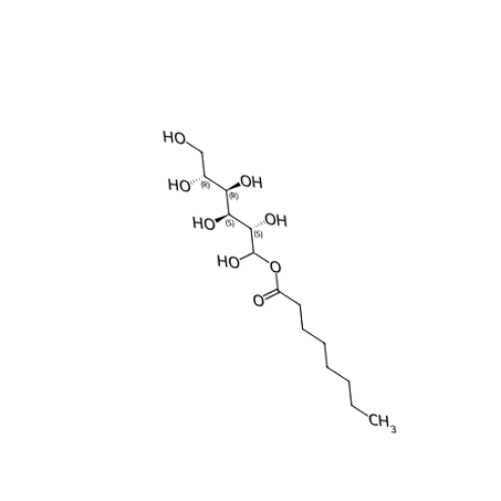 CCCCCCCC(=O)OC(O)[C@@H](O)[C@@H](O)[C@H](O)[C@H](O)CO